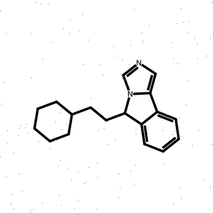 c1ccc2c(c1)-c1cncn1C2CCC1CCCCC1